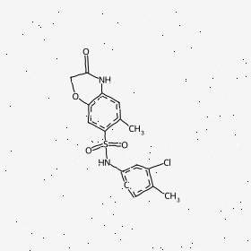 Cc1ccc(NS(=O)(=O)c2cc3c(cc2C)NC(=O)CO3)cc1Cl